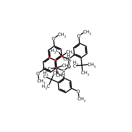 COc1ccc(C(C)(C)C)c([SiH](O[SiH](c2cc(OC)ccc2C(C)(C)C)c2cc(OC)ccc2C(C)(C)C)c2cc(OC)ccc2C(C)(C)C)c1